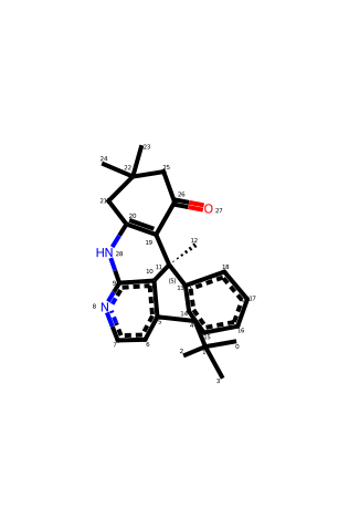 CC(C)(C)Cc1ccnc2c1[C@](C)(c1ccccc1)C1=C(CC(C)(C)CC1=O)N2